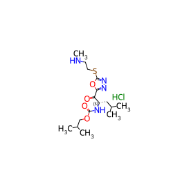 CNCCSc1nnc(C(=O)[C@H](CC(C)C)NC(=O)OCC(C)C)o1.Cl